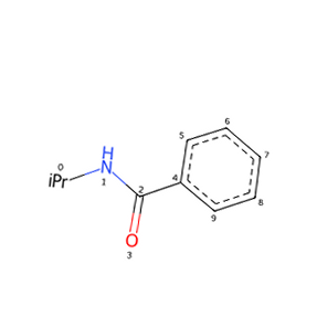 CC(C)NC(=O)c1ccccc1